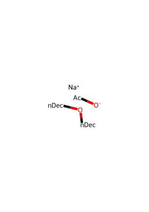 CC(=O)[O-].CCCCCCCCCCOCCCCCCCCCC.[Na+]